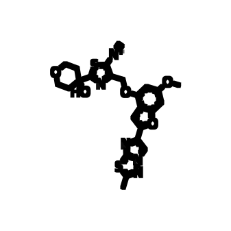 C#[N+]c1sc(C2(O)CCOCC2)nc1COc1cc(OC)cc2oc(-c3cn4nc(C)sc4n3)cc12